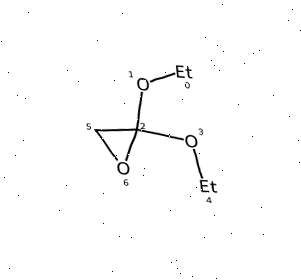 CCOC1(OCC)CO1